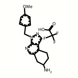 COc1ccc(Cn2ncc3c4c(cnc32)CC(N)CC4)cc1.O=C(O)C(F)(F)F